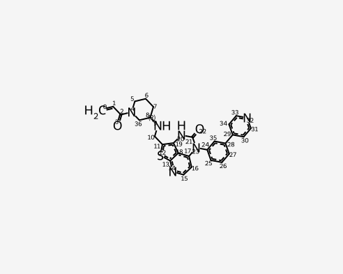 C=CC(=O)N1CCC[C@@H](NCc2sc3nccc4c3c2NC(=O)N4c2cccc(-c3ccncc3)c2)C1